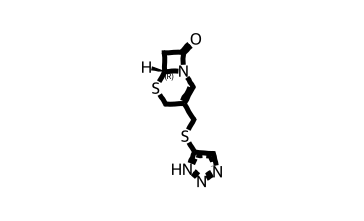 O=C1C[C@H]2SCC(CSc3cnn[nH]3)=CN12